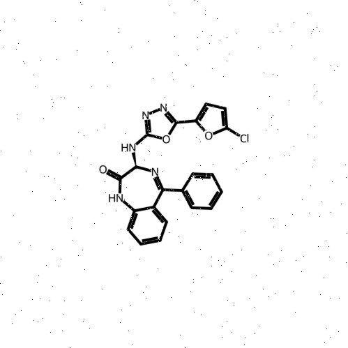 O=C1Nc2ccccc2C(c2ccccc2)=N[C@@H]1Nc1nnc(-c2ccc(Cl)o2)o1